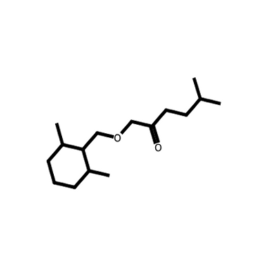 CC(C)CCC(=O)COCC1C(C)CCCC1C